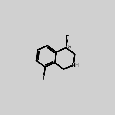 F[C@H]1CNCc2c(I)cccc21